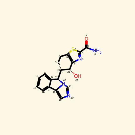 NC(=O)c1nc2c(s1)CC[C@@H]([C@@H]1c3ccccc3-c3cncn31)[C@H]2O